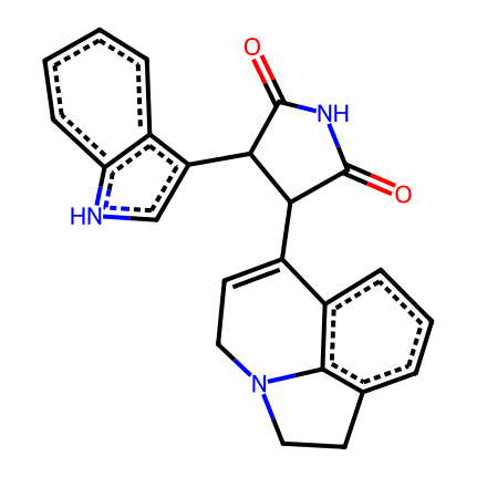 O=C1NC(=O)C(c2c[nH]c3ccccc23)C1C1=CCN2CCc3cccc1c32